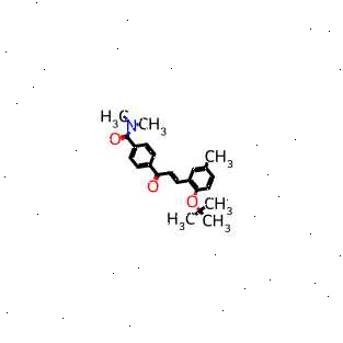 Cc1ccc(OC(C)(C)C)c(C=CC(=O)c2ccc(C(=O)N(C)C)cc2)c1